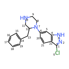 Clc1n[nH]c2cc(N3CCNCC3Cc3ccccc3)ccc12